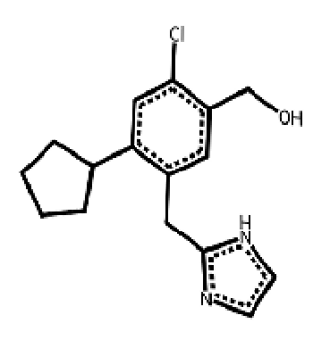 OCc1cc(Cc2ncc[nH]2)c(C2CCCC2)cc1Cl